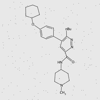 CCCCc1nnc(C(=O)NC2CCN(C)CC2)cc1-c1ccc(OC2CCCCC2)cc1